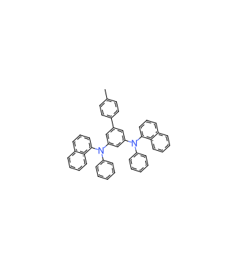 Cc1ccc(-c2cc(N(c3ccccc3)c3cccc4ccccc34)cc(N(c3ccccc3)c3cccc4ccccc34)c2)cc1